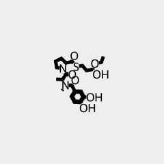 CCOC(O)CCSC(=O)C1CCCN1C(=O)C(C)N(C)C(=O)c1ccc(O)c(O)c1